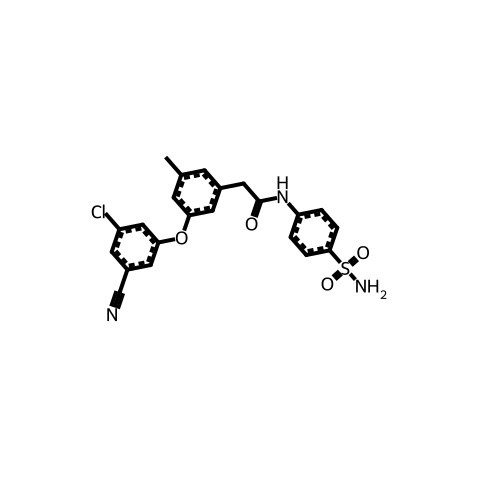 Cc1cc(CC(=O)Nc2ccc(S(N)(=O)=O)cc2)cc(Oc2cc(Cl)cc(C#N)c2)c1